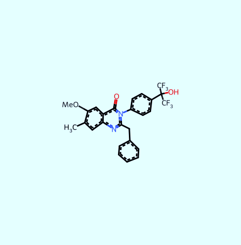 COc1cc2c(=O)n(-c3ccc(C(O)(C(F)(F)F)C(F)(F)F)cc3)c(Cc3ccccc3)nc2cc1C